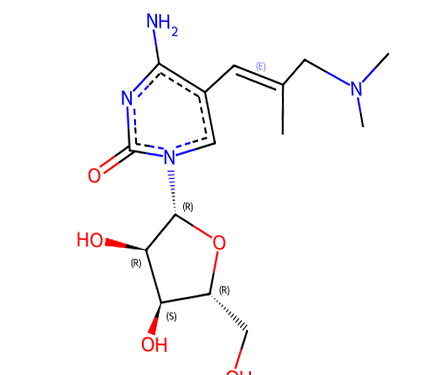 C/C(=C\c1cn([C@@H]2O[C@H](CO)[C@@H](O)[C@H]2O)c(=O)nc1N)CN(C)C